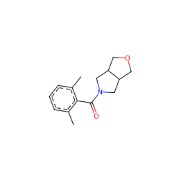 Cc1cccc(C)c1C(=O)N1CC2COCC2C1